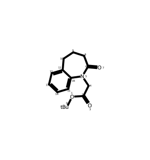 CC(C)(C)OC(=O)CN1C(=O)[C]CCc2ccccc21